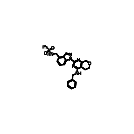 CC(C)S(=O)(=O)NCc1cccc2c1cnn2-c1nc2c(c(NCc3ccccc3)n1)CCOC2